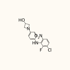 O=[N+]([O-])c1ccc(Cl)c(F)c1Nc1ccc(N2CC(O)C2)cc1